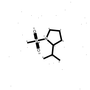 CC(C)C1CCCN1S(C)(=O)=O